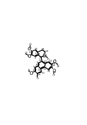 COc1cc2cc(C3c4cc(OC)c(OC)cc4CCN3C)c3cc(OC)c(OC)cc3c2cc1C